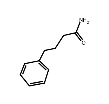 NC(=O)[CH]CCc1ccccc1